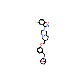 Fc1ccc2onc(N3CCN4CC(COc5cccc(CN6CC7CCC(CC7)C6)c5)CCC4C3)c2c1